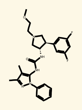 COCCN1C[C@@H](NC(=O)Nc2c(C)c(C)nn2-c2ccccc2)[C@H](c2cc(F)cc(F)c2)C1